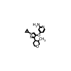 CC1COCCC1c1nn(C2CC2)cc1Oc1ccnc(N)c1